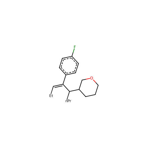 [CH2]CC=C(c1ccc(F)cc1)C(CCC)C1CCCOC1